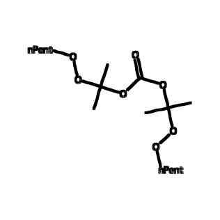 CCCCCOOC(C)(C)OC(=O)OC(C)(C)OOCCCCC